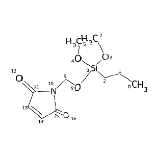 CCC[Si](OC)(OC)OCN1C(=O)C=CC1=O